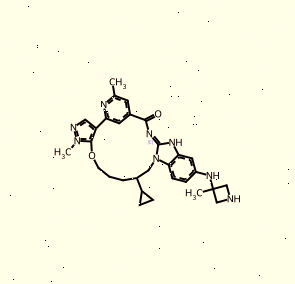 Cc1cc2cc(n1)-c1cnn(C)c1OCCCC(C1CC1)CN1/C(=N/C2=O)Nc2cc(NC3(C)CNC3)ccc21